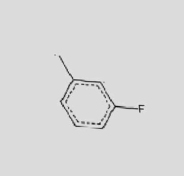 [CH2]c1[c]c(F)ccc1